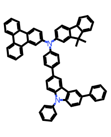 CC1(C)c2ccccc2-c2ccc(N(c3ccc(-c4ccc5c(c4)c4cc(-c6ccccc6)ccc4n5-c4ccccc4)cc3)c3ccc4c5ccccc5c5ccccc5c4c3)cc21